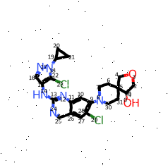 O[C@H]1COCC12CCN(c1cc3nc(Nc4cnn(C5CC5)c4Cl)ncc3cc1Cl)CC2